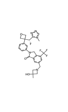 Cn1cnnc1[C@H](F)C1(c2cccc(N3Cc4c(cc(CN5CC(C)(O)C5)cc4C(F)(F)F)C3=O)c2)COC1